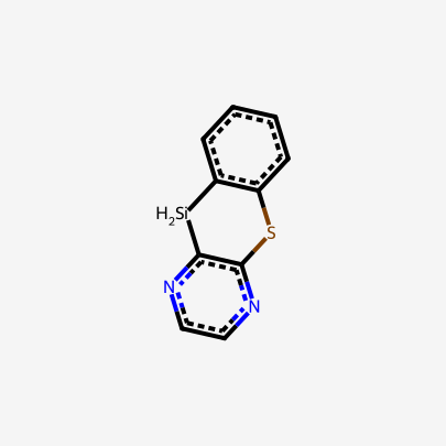 c1ccc2c(c1)[SiH2]c1nccnc1S2